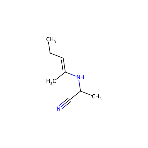 CC/C=C(\C)NC(C)C#N